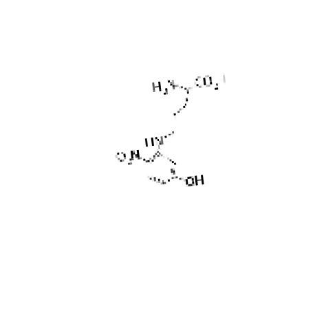 N[C@@H](CCCNc1cc(O)ccc1[N+](=O)[O-])C(=O)O